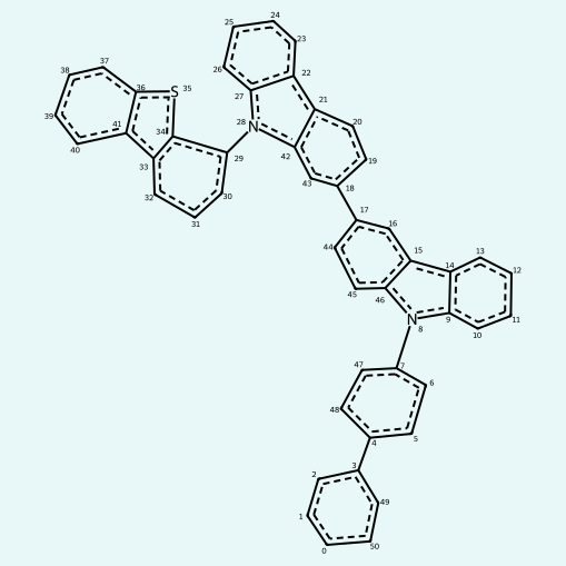 c1ccc(-c2ccc(-n3c4ccccc4c4cc(-c5ccc6c7ccccc7n(-c7cccc8c7sc7ccccc78)c6c5)ccc43)cc2)cc1